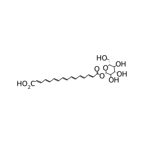 O=C(O)/C=C/C=C/C=C/C=C/C=C/C=C/C=C/C(=O)O[C@@H]1O[C@H](CO)[C@@H](O)[C@H](O)[C@H]1O